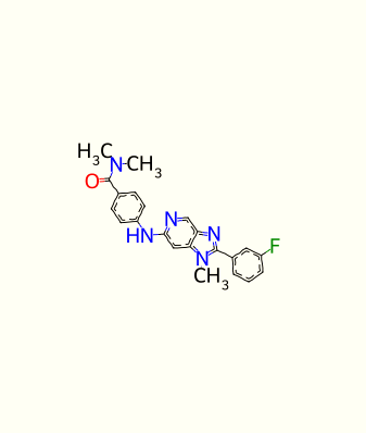 CN(C)C(=O)c1ccc(Nc2cc3c(cn2)nc(-c2cccc(F)c2)n3C)cc1